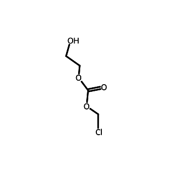 O=C(OCCl)OCCO